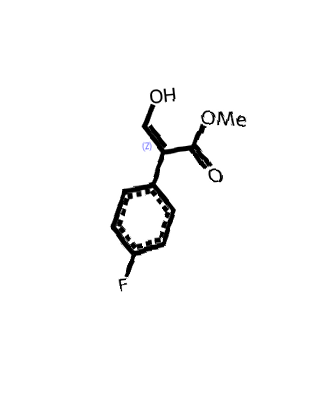 COC(=O)/C(=C\O)c1ccc(F)cc1